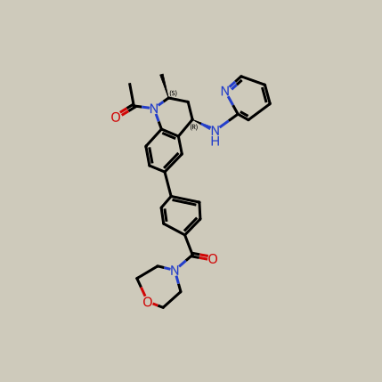 CC(=O)N1c2ccc(-c3ccc(C(=O)N4CCOCC4)cc3)cc2[C@H](Nc2ccccn2)C[C@@H]1C